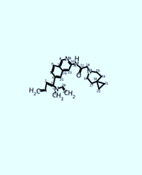 C=C/C=C(/c1ccc2cnc(NC(=O)CN3CCC4(CC3)CC4)cc2c1)N(C)C=C